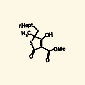 CCCCCCCCC1(C)SC(=O)C(C(=O)OC)=C1O